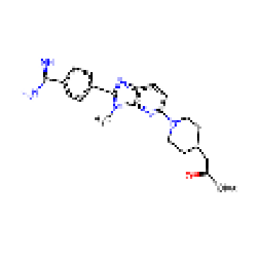 COC(=O)CC1CCN(c2ccc3nc(-c4ccc(C(=N)N)cc4)n(C)c3n2)CC1